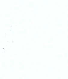 CCCCCCCCCCCCc1cccc2ccc3c4ccccc4[nH]c3c12